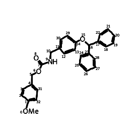 COc1ccc(COC(=O)NCc2ccc(OC(c3ccccc3)c3ccccc3)cc2)cc1